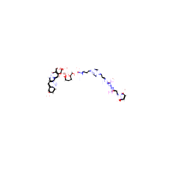 CC[C@@]1(OC2CCCC(COC(=O)NCCCN3CCN(CCCNC(=O)NNC(=O)CCN4C(=O)C=CC4=O)CC3)O2)C(=O)OCc2c1cc1n(c2=O)Cc2cc3cc(O)ccc3nc2-1